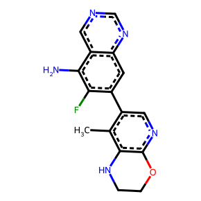 Cc1c(-c2cc3ncncc3c(N)c2F)cnc2c1NCCO2